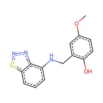 COc1ccc(O)c(CNc2cccc3snnc23)c1